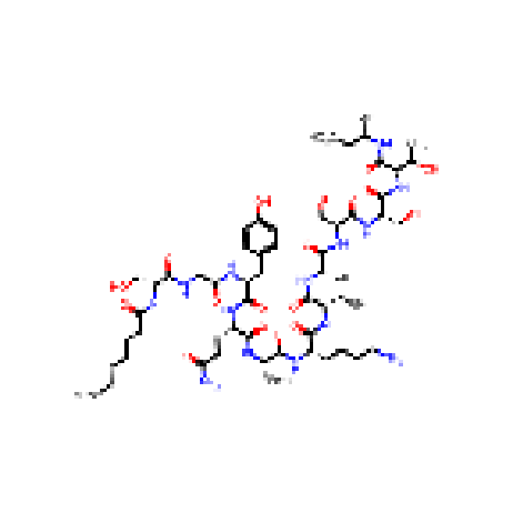 CCCCCCCCCCCCCCCC(=O)N[C@H](CO)C(=O)NCC(=O)N[C@@H](Cc1ccc(O)cc1)C(=O)N[C@@H](CCC(N)=O)C(=O)N[C@@H](CCCCC)C(=O)N[C@@H](CCCCN)C(=O)N[C@@H](CC(C)C)C(=O)N[C@@H](CCCC)C(=O)N[C@@H](CO)C(=O)N[C@@H](CO)C(=O)N[C@H](C(=O)N[C@@H](CC(=O)O)C(C)=O)[C@@H](C)O